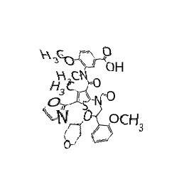 COc1ccccc1C(CN(C=O)c1sc(-c2ncco2)c(C)c1C(=O)N(C)c1cc(C(=O)O)ccc1OC)OC1CCOCC1